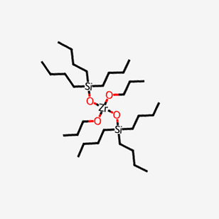 CCCC[Si](CCCC)(CCCC)[O][Zr]([O]CCC)([O]CCC)[O][Si](CCCC)(CCCC)CCCC